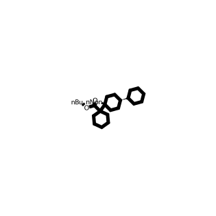 CCCCCCCCC[C@]1(C2(C(=O)OCCCC)CCCCC2)CC[C@@H](C2CCCCC2)CC1